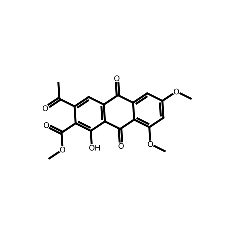 COC(=O)c1c(C(C)=O)cc2c(c1O)C(=O)c1c(OC)cc(OC)cc1C2=O